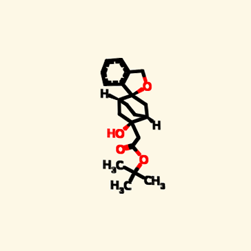 CC(C)(C)OC(=O)C[C@]1(O)C[C@H]2CC[C@@H]1C[C@]21OCc2ccccc21